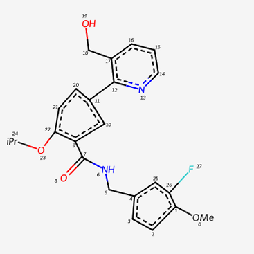 COc1ccc(CNC(=O)c2cc(-c3ncccc3CO)ccc2OC(C)C)cc1F